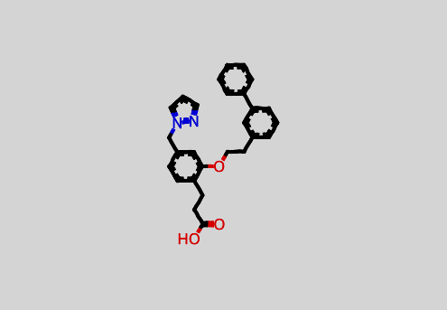 O=C(O)CCc1ccc(Cn2cccn2)cc1OCCc1cccc(-c2ccccc2)c1